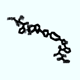 COC(=O)NC(C(=O)N1CCCC1c1nc(-c2ccc(-c3ccc(-c4ccc5[nH]c([C@@H]6CCCN6C(=O)[C@@H](NC(=O)O)C(C)C)nc5c4)cc3)cc2)c[nH]1)C(C)C